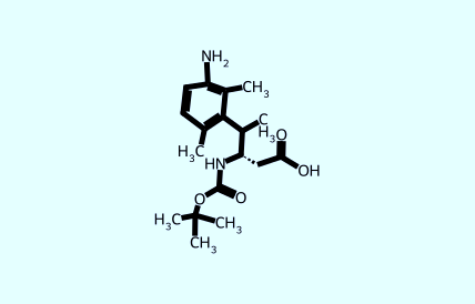 Cc1ccc(N)c(C)c1C(C)[C@H](CC(=O)O)NC(=O)OC(C)(C)C